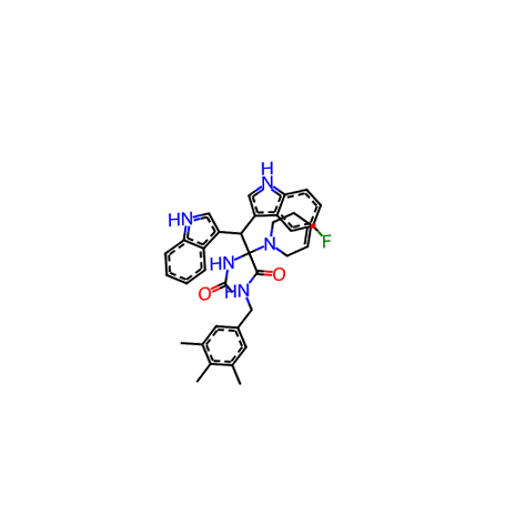 CC(=O)NC(C(=O)NCc1cc(C)c(C)c(C)c1)(C(c1c[nH]c2ccccc12)c1c[nH]c2ccc(F)cc12)N1CC=CCC1